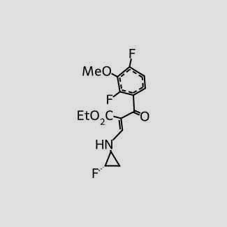 CCOC(=O)/C(=C\N[C@@H]1C[C@@H]1F)C(=O)c1ccc(F)c(OC)c1F